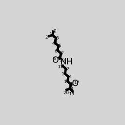 CC(C)CCCCCC(=O)NCCCCCC(=O)C(C)C